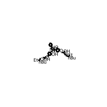 CCCCC(CC)COCC(O)COc1ccc(-c2nc(-c3ccccc3)nc(-c3ccc(OCC(O)COCC(CC)CCCC)cc3O)n2)c(O)c1